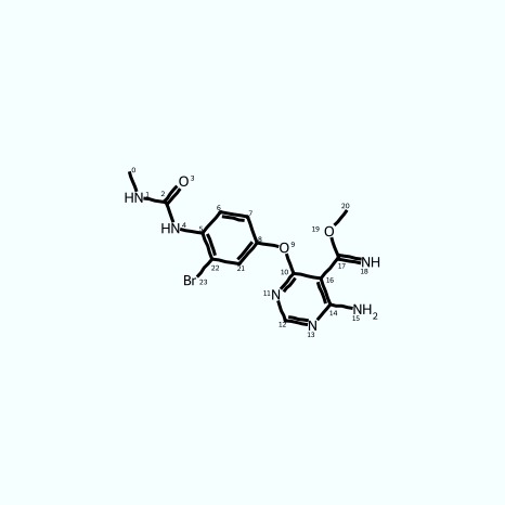 CNC(=O)Nc1ccc(Oc2ncnc(N)c2C(=N)OC)cc1Br